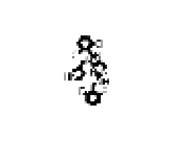 Fc1cccc(F)c1CNc1ncc2nc(-c3c(Cl)cccc3Cl)n(CC3CCNC3)c2n1